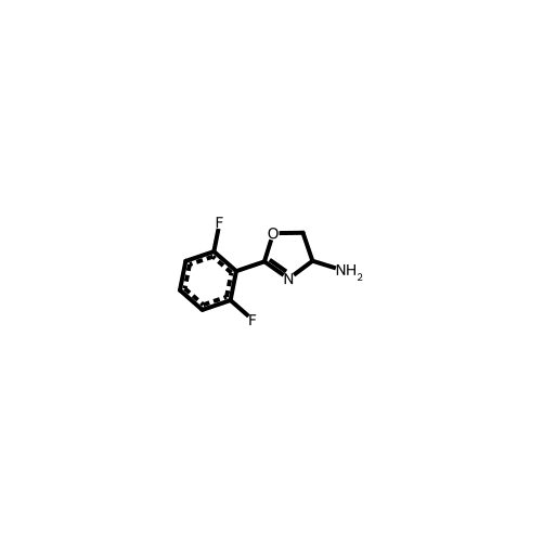 NC1COC(c2c(F)cccc2F)=N1